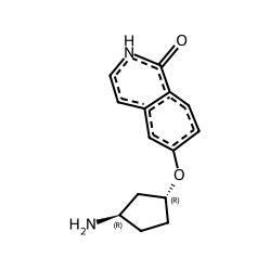 N[C@@H]1CC[C@@H](Oc2ccc3c(=O)[nH]ccc3c2)C1